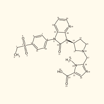 CCS(=O)(=O)c1ccc(-n2c(=O)n([C@H]3CCN(Cc4ncc(C(=O)O)n4C)C3)c3ncccc32)cc1